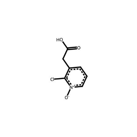 O=C(O)Cc1ccc[n+]([O-])c1Cl